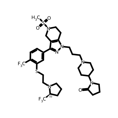 CS(=O)(=O)N1CCc2c(c(-c3ccc(C(F)(F)F)c(SCCN4CCC[C@H]4C(F)(F)F)c3)nn2CCCN2CCC(N3CCCC3=O)CC2)C1